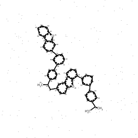 CC(C)c1ccc(-c2cccc(-c3cccc4c3oc3ccc(CC(C)c5ccc(-c6cccc(-c7ccc8c(c7)oc7ccccc78)c6)cc5)cc34)c2)cc1